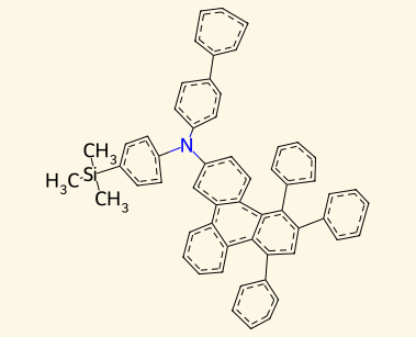 C[Si](C)(C)c1ccc(N(c2ccc(-c3ccccc3)cc2)c2ccc3c(c2)c2ccccc2c2c(-c4ccccc4)cc(-c4ccccc4)c(-c4ccccc4)c32)cc1